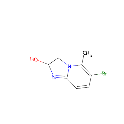 CC1=C(Br)C=CC2=NC(O)CN21